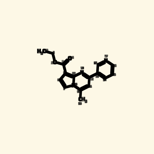 CCOC(=O)c1ccn2c(C)cc(-c3cccnc3)nc12